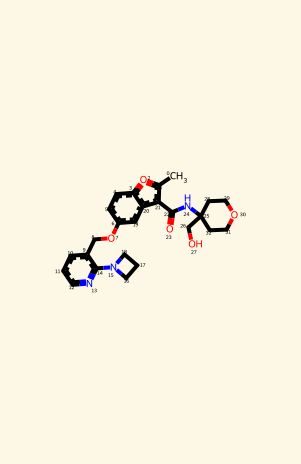 Cc1oc2ccc(OCc3cccnc3N3CCC3)cc2c1C(=O)NC1(CO)CCOCC1